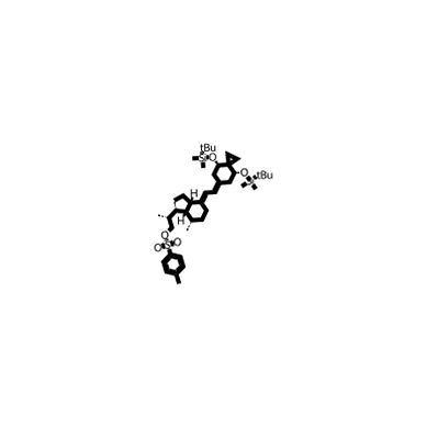 Cc1ccc(S(=O)(=O)OC[C@H](C)[C@@H]2CC[C@@H]3/C(=C/C=C4C[C@@H](O[Si](C)(C)C(C)(C)C)C5(CC5)[C@H](O[Si](C)(C)C(C)(C)C)C4)CC[C@H](C)[C@H]23)cc1